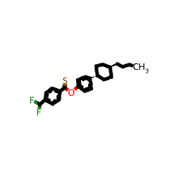 CCCC[C@H]1CC[C@H](c2ccc(OC(=S)c3ccc(C(F)F)cc3)cc2)CC1